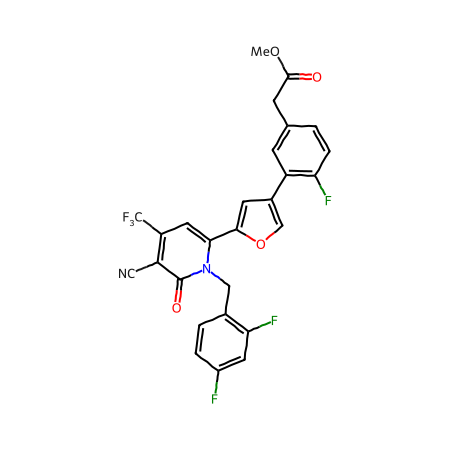 COC(=O)Cc1ccc(F)c(-c2coc(-c3cc(C(F)(F)F)c(C#N)c(=O)n3Cc3ccc(F)cc3F)c2)c1